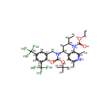 CCOC(=O)N1c2c(cc(C)nc2C)C(N(Cc2cc(C(F)(F)F)cc(C(F)(F)F)c2)C(=O)OC(C)(C)C)CC1CC